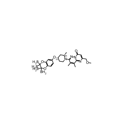 BC1(B)Oc2ccc(O[C@H]3CCN(c4nn5c(=O)cc(COC)nc5c(C)c4C)[C@H](C)C3)cc2OC1(B)B